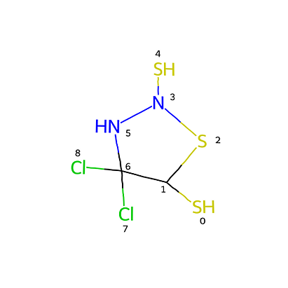 SC1SN(S)NC1(Cl)Cl